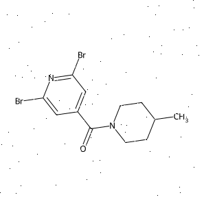 CC1CCN(C(=O)c2cc(Br)nc(Br)c2)CC1